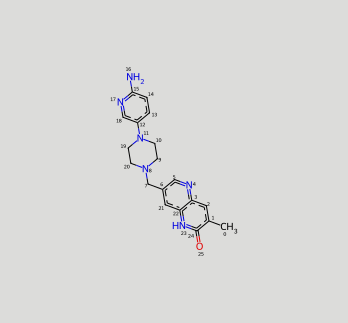 Cc1cc2ncc(CN3CCN(c4ccc(N)nc4)CC3)cc2[nH]c1=O